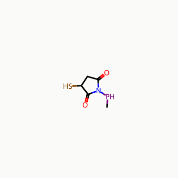 CPN1C(=O)CC(S)C1=O